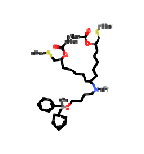 CCCCCCCCCC(=O)OC(CCCCCC(CCCCCC(CSCCCCCC)OC(=O)CCCCCCCCC)N(CCC)CCCCO[Si](c1ccccc1)(c1ccccc1)C(C)(C)C)CSCCCCCC